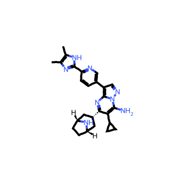 Cc1nc(-c2ccc(-c3cnn4c(N)c(C5CC5)c([C@H]5C[C@H]6CC[C@@H](C5)N6)nc34)cn2)[nH]c1C